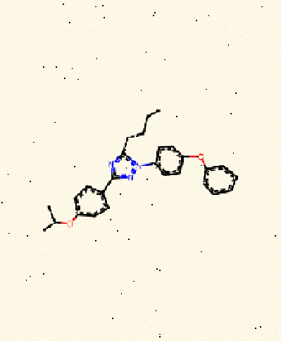 CCCCc1nc(-c2ccc(OC(C)C)cc2)nn1-c1ccc(Oc2ccccc2)cc1